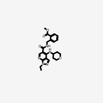 CCn1ncc2c(NC3CCOCC3)c(C(=O)NCc3ccccc3C(=O)OC)cnc21